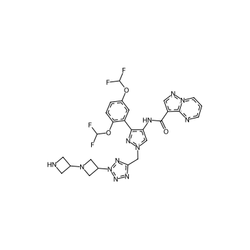 O=C(Nc1cn(Cc2nnn(C3CN(C4CNC4)C3)n2)nc1-c1cc(OC(F)F)ccc1OC(F)F)c1cnn2cccnc12